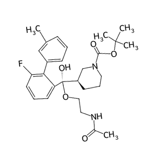 CC(=O)NCCO[C@@](O)(c1cccc(F)c1-c1cccc(C)c1)[C@@H]1CCCN(C(=O)OC(C)(C)C)C1